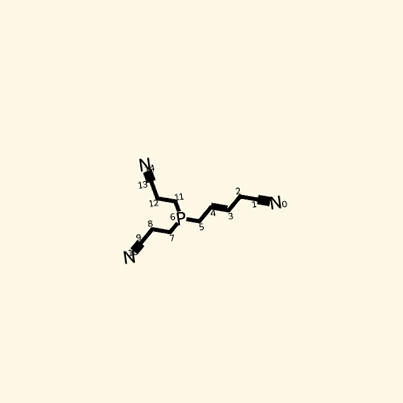 N#CC/C=C/CP(CCC#N)CCC#N